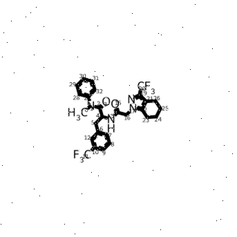 CN(C(=O)C(Cc1cccc(C(F)(F)F)c1)NC(=O)Cn1nc(C(F)(F)F)c2c1CCCC2)c1ccccc1